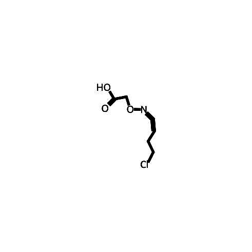 O=C(O)CON=C=CCCCl